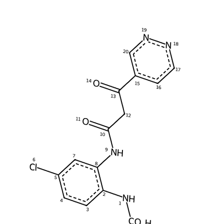 O=C(O)Nc1ccc(Cl)cc1NC(=O)CC(=O)c1ccnnc1